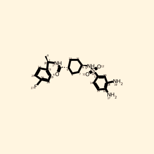 C[C@@H](NC(=O)[C@H]1CC[C@H](NS(=O)(=O)c2ccc(N)c(N)c2)CC1)c1ccc(F)cc1